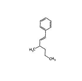 CCCC(C)C=Cc1ccccc1